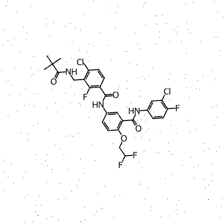 CC(C)(C)C(=O)NCc1c(Cl)ccc(C(=O)Nc2ccc(OCC(F)F)c(C(=O)Nc3ccc(F)c(Cl)c3)c2)c1F